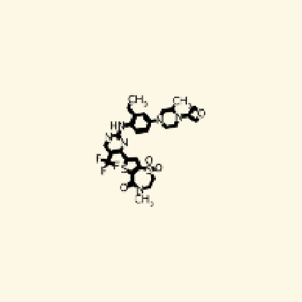 CCc1cc(N2CCN(C3COC3)C(C)C2)ccc1Nc1ncc(C(F)(F)F)c(-c2cc3c(s2)C(=O)N(C)CCS3(=O)=O)n1